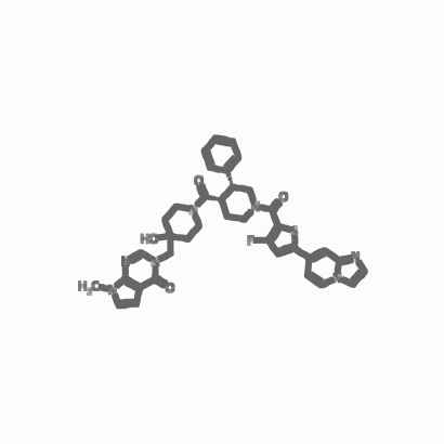 Cn1ccc2c(=O)n(CC3(O)CCN(C(=O)[C@@H]4CCN(C(=O)c5sc(-c6ccn7ccnc7c6)cc5F)C[C@H]4c4ccccc4)CC3)cnc21